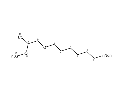 CCCCCCCCCCCCCCCOCC(CC)OCCCC